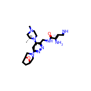 C[C@@H]1CN(C)CCN1c1cc(N2CC3CCC(C2)O3)nnc1CNC(=O)/C(N)=C/C=N